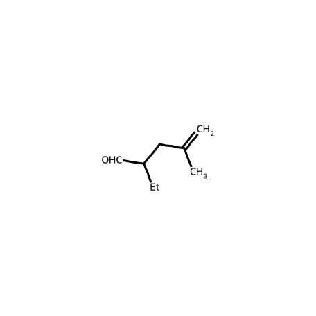 C=C(C)CC(C=O)CC